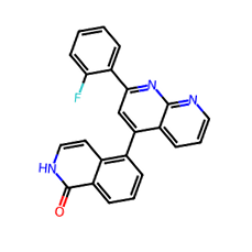 O=c1[nH]ccc2c(-c3cc(-c4ccccc4F)nc4ncccc34)cccc12